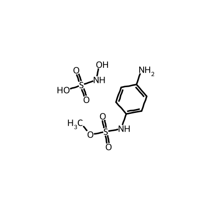 COS(=O)(=O)Nc1ccc(N)cc1.O=S(=O)(O)NO